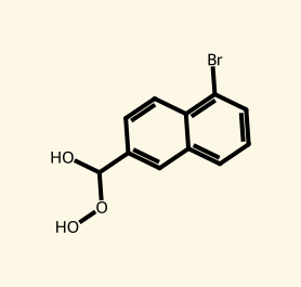 OOC(O)c1ccc2c(Br)cccc2c1